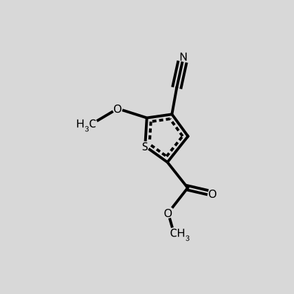 COC(=O)c1cc(C#N)c(OC)s1